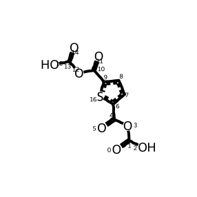 O=C(O)OC(=O)c1ccc(C(=O)OC(=O)O)s1